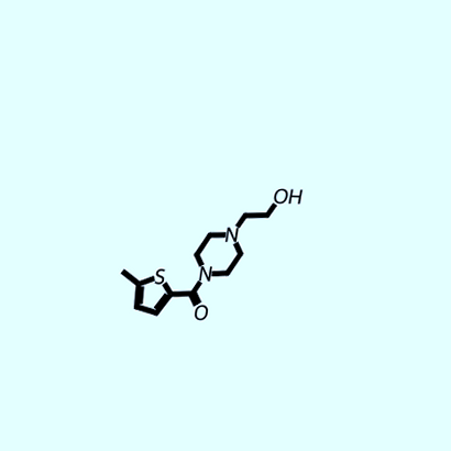 Cc1ccc(C(=O)N2CCN(CCO)CC2)s1